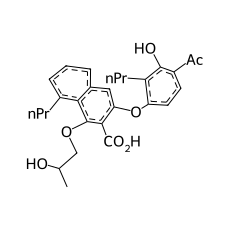 CCCc1c(Oc2cc3cccc(CCC)c3c(OCC(C)O)c2C(=O)O)ccc(C(C)=O)c1O